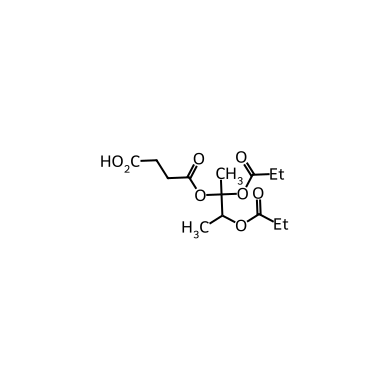 CCC(=O)OC(C)C(C)(OC(=O)CC)OC(=O)CCC(=O)O